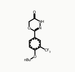 CCCCOc1ccc(C2=NNC(=O)CO2)cc1C(F)(F)F